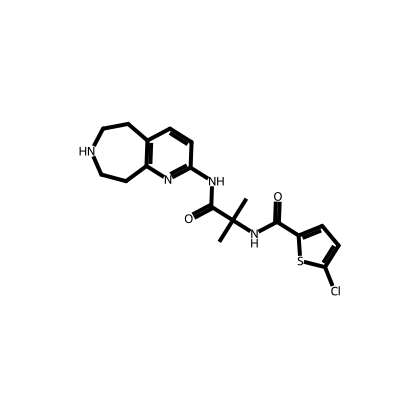 CC(C)(NC(=O)c1ccc(Cl)s1)C(=O)Nc1ccc2c(n1)CCNCC2